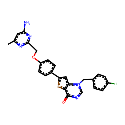 Cc1cc(N)nc(COc2ccc(-c3cc4c(s3)c(=O)ncn4Cc3ccc(Cl)cc3)cc2)n1